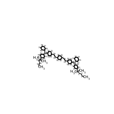 CCCCC(C)(C)c1ccc(N(c2ccccc2)c2ccc(/C=C/c3ccc(/C=C/c4ccc(N(c5ccccc5)c5ccc(C(C)(C)CCCC)cc5)cc4)cc3)cc2)cc1